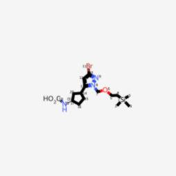 C[Si](C)(C)CCOCn1nc(Br)cc1C1CC[C@H](NC(=O)O)C1